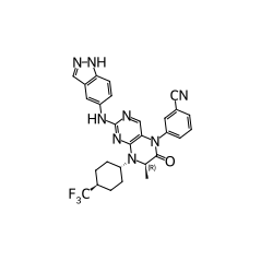 C[C@@H]1C(=O)N(c2cccc(C#N)c2)c2cnc(Nc3ccc4[nH]ncc4c3)nc2N1[C@H]1CC[C@H](C(F)(F)F)CC1